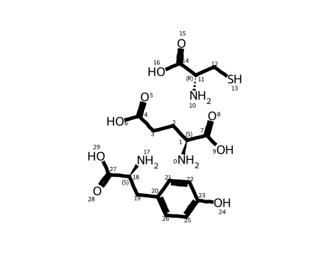 N[C@@H](CCC(=O)O)C(=O)O.N[C@@H](CS)C(=O)O.N[C@@H](Cc1ccc(O)cc1)C(=O)O